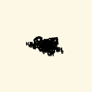 CC1CCCC1(C)N(C1CCCN1[C@]1(C(=O)NC(=O)O)c2ccc(cc2)CC(C(N)=O)C1(C)C)C1CCCN1[C@]1(C(=O)NC(=O)O)c2ccc(cc2)CC(C(N)=O)C1(C)C